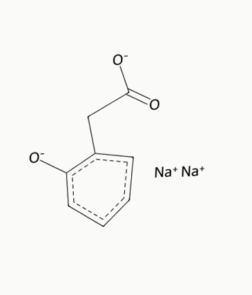 O=C([O-])Cc1ccccc1[O-].[Na+].[Na+]